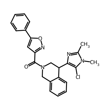 Cc1nc(C2CN(C(=O)c3cc(-c4ccccc4)on3)Cc3ccccc32)c(Cl)n1C